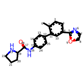 Cc1ccc(-c2ncco2)cc1-c1ccc(NC(=O)C2CCCN2)cc1